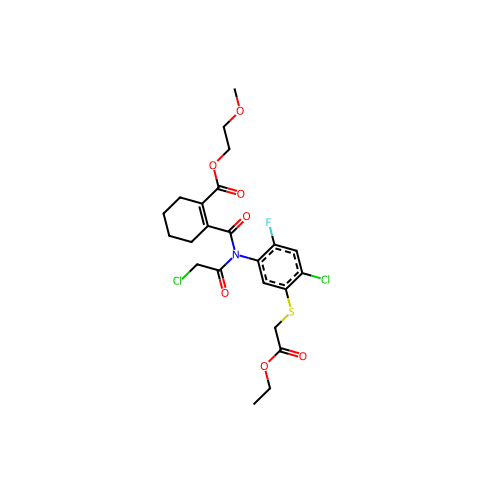 CCOC(=O)CSc1cc(N(C(=O)CCl)C(=O)C2=C(C(=O)OCCOC)CCCC2)c(F)cc1Cl